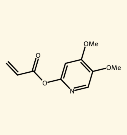 C=CC(=O)Oc1cc(OC)c(OC)cn1